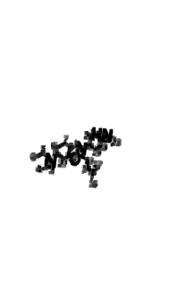 CCN(CC)c1ccc(CN(C(=O)/C=C/C(C)C)c2ccc(NC)cc2)cc1